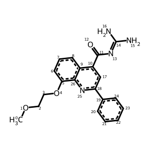 COCCOc1cccc2c(C(=O)N=C(N)N)cc(-c3ccccc3)nc12